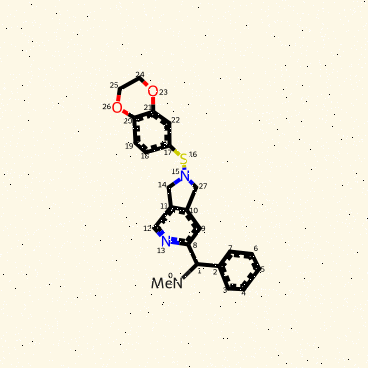 CNC(c1ccccc1)c1cc2c(cn1)CN(Sc1ccc3c(c1)OCCO3)C2